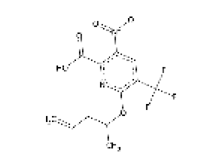 C=CCC(C)Oc1nc(C(=O)O)c([N+](=O)[O-])cc1C(F)(F)F